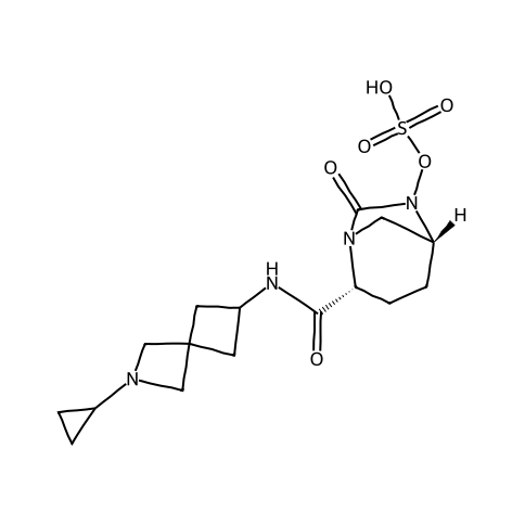 O=C(NC1CC2(C1)CN(C1CC1)C2)[C@H]1CC[C@@H]2CN1C(=O)N2OS(=O)(=O)O